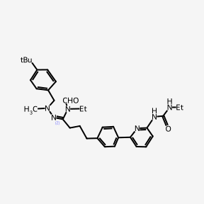 CCNC(=O)Nc1cccc(-c2ccc(CCC/C(=N/N(C)Cc3ccc(C(C)(C)C)cc3)N(C=O)CC)cc2)n1